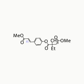 CCC(C)(CC(=O)OC)C(=O)Oc1ccc(/C=C/C(=O)OC)cc1